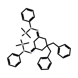 C[Si](C)(C)N(/N=C1\C/C(=N\N(c2ccccc2)[Si](C)(C)C)CC(Cc2ccccc2)(Cc2ccccc2)C1)c1ccccc1